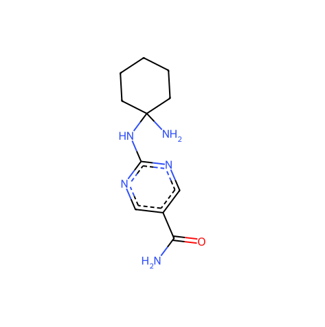 NC(=O)c1cnc(NC2(N)CCCCC2)nc1